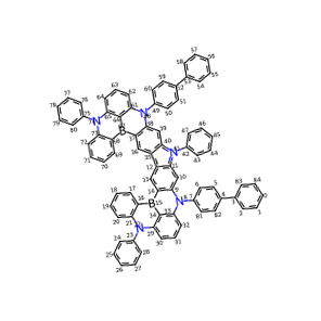 c1ccc(-c2ccc(N3c4cc5c(cc4B4c6ccccc6N(c6ccccc6)c6cccc3c64)c3cc4c(cc3n5-c3ccccc3)N(c3ccc(-c5ccccc5)cc3)c3cccc5c3B4c3ccccc3N5c3ccccc3)cc2)cc1